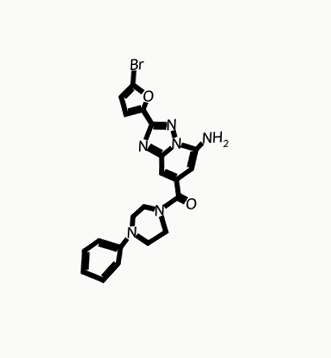 Nc1cc(C(=O)N2CCN(c3ccccc3)CC2)cc2nc(-c3ccc(Br)o3)nn12